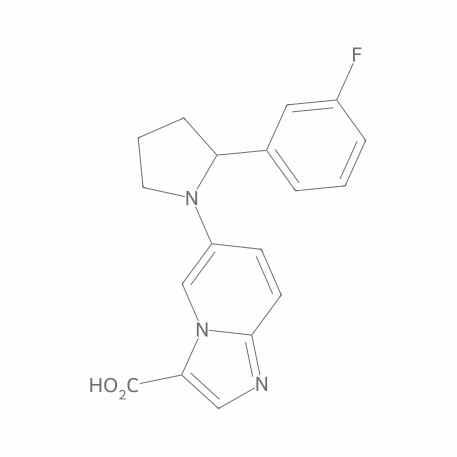 O=C(O)c1cnc2ccc(N3CCCC3c3cccc(F)c3)cn12